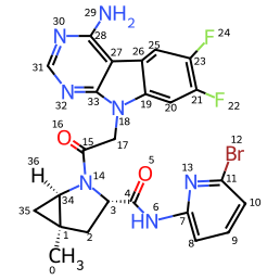 C[C@@]12C[C@@H](C(=O)Nc3cccc(Br)n3)N(C(=O)Cn3c4cc(F)c(F)cc4c4c(N)ncnc43)[C@@H]1C2